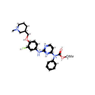 COOC(=O)N(c1ccccc1)c1ccnc(Nc2ccc(OCC3CCCN(C)C3)c(F)c2)n1